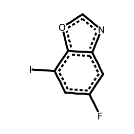 Fc1cc(I)c2ocnc2c1